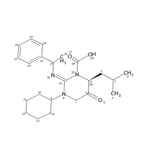 CC(C)C[C@H]1C(=O)CN(C2CCCCC2)C(=NC(C)c2ccccc2)N1C(=O)O